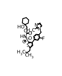 Cc1nccn1Cc1ccc(-c2cc(CC(C)C)sc2S(=O)(=O)NC(=O)OCC2(O)CCCCC2)cc1F